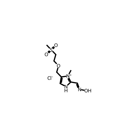 C[n+]1c(COCCS(C)(=O)=O)c[nH]c1C=NO.[Cl-]